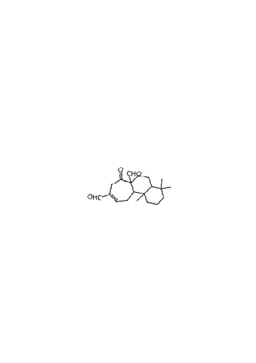 CC1(C)CCCC2(C)C1CCC1(C=O)C(=O)CC(C=O)=CCC12